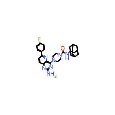 Nc1nc(N2CCN(C(=O)NC34CC5CC(CC(C5)C3)C4)CC2)c2nc(-c3ccc(F)cc3)ccc2n1